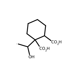 [CH2]C(O)C1(C(=O)O)CCCCC1C(=O)O